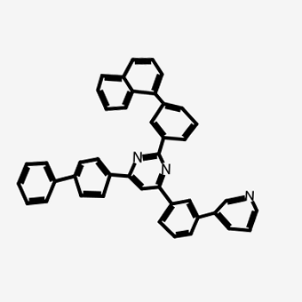 c1ccc(-c2ccc(-c3cc(-c4cccc(-c5cccnc5)c4)nc(-c4cccc(-c5cccc6ccccc56)c4)n3)cc2)cc1